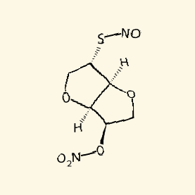 O=NS[C@H]1CO[C@H]2[C@@H]1OC[C@H]2O[N+](=O)[O-]